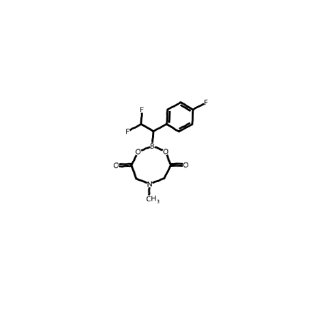 CN1CC(=O)OB(C(c2ccc(F)cc2)C(F)F)OC(=O)C1